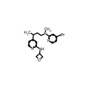 CC(C)c1ccnc(N(C)CCC(C)c2ccnc(NC3COC3)c2)c1